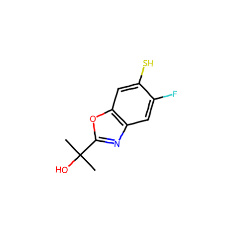 CC(C)(O)c1nc2cc(F)c(S)cc2o1